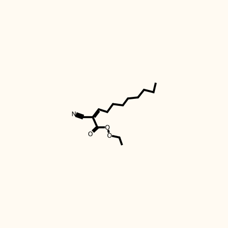 CCCCCCCCC=C(C#N)C(=O)OOCC